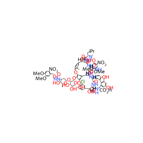 COc1cc(COC(=O)N[C@@]2(C)C[C@H](O[C@H]3[C@H](Oc4c5cc6cc4Oc4ccc(cc4Cl)[C@@H](O)[C@@H]4NC(=O)[C@H](NC(=O)[C@@H]6NC(=O)[C@H](CC(N)=O)NC(=O)[C@H](NC(=O)[C@@H](CC(C)C)N(C)C(=O)Oc6cc(OC)c(OC)cc6[N+](=O)[O-])[C@H](O)c6ccc(c(C)c6)O5)c5ccc(O)c(c5)-c5c(C)cc(O)cc5[C@@H](C(=O)O)NC4=O)O[C@H](CO)[C@@H](O)[C@@H]3O)O[C@@H](C)[C@H]2O)c([N+](=O)[O-])cc1OC